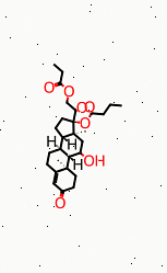 CCCC(=O)O[C@]1(C(=O)COC(=O)CC)CC[C@H]2[C@@H]3CCC4=CC(=O)CC[C@]4(C)[C@H]3C(O)C[C@@]21C